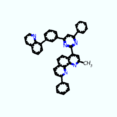 Cc1cc(-c2nc(-c3ccccc3)cc(-c3cccc(-c4cccc5cccnc45)c3)n2)c2ccc3ccc(-c4ccccc4)nc3c2n1